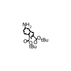 CC(C)(C)OC(=O)c1cc2cc(N)ccc2n1C(=O)OC(C)(C)C